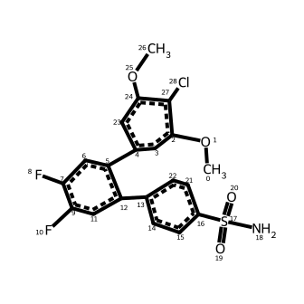 COc1cc(-c2cc(F)c(F)cc2-c2ccc(S(N)(=O)=O)cc2)cc(OC)c1Cl